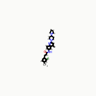 Cc1cc(N2CCC(N3CCCC3)CC2)nc2ccc(NC(=O)C=Cc3ccc(C(F)(F)F)cc3F)cc12